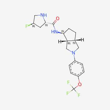 O=C(N[C@H]1CC[C@@H]2CN(c3ccc(OC(F)(F)F)cc3)C[C@@H]21)[C@@H]1C[C@@H](F)CN1